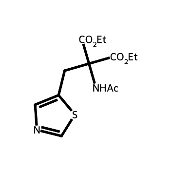 CCOC(=O)C(Cc1cncs1)(NC(C)=O)C(=O)OCC